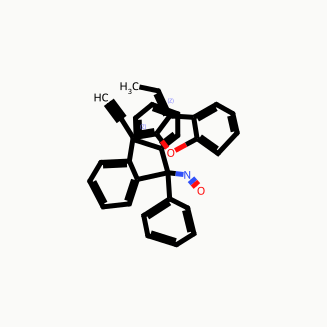 C#C/C(c1ccccc1C(N=O)(c1ccccc1)c1ccccc1)=c1/oc2ccccc2/c1=C/C